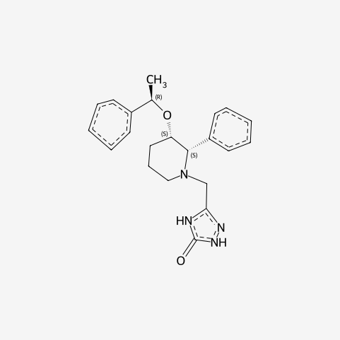 C[C@@H](O[C@H]1CCCN(Cc2n[nH]c(=O)[nH]2)[C@H]1c1ccccc1)c1ccccc1